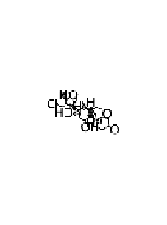 C[C@]12CC(O)[C@H]3[C@@H](CCC45OC4C(=O)CC[C@]35C)[C@@H]1CC(O)[C@]2(O)C(=O)CCl